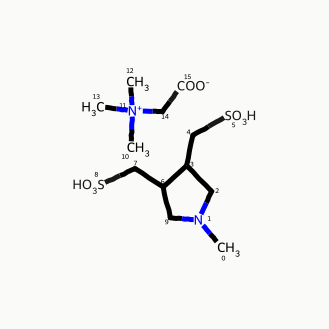 CN1CC(CS(=O)(=O)O)C(CS(=O)(=O)O)C1.C[N+](C)(C)CC(=O)[O-]